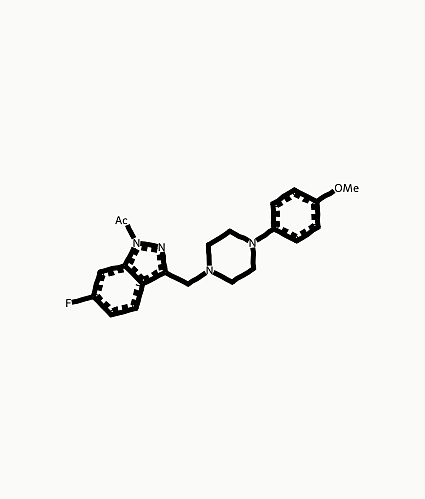 COc1ccc(N2CCN(Cc3nn(C(C)=O)c4cc(F)ccc34)CC2)cc1